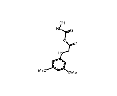 COc1cc(NCC(=O)OC(=O)NO)cc(OC)c1